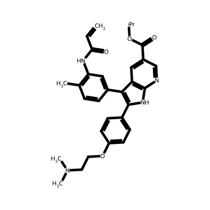 C=CC(=O)Nc1cc(-c2c(-c3ccc(OCCN(C)C)cc3)[nH]c3ncc(C(=O)OC(C)C)cc23)ccc1C